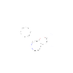 Nc1oc2c(-c3ccc(Cl)cc3)nccc2c1N